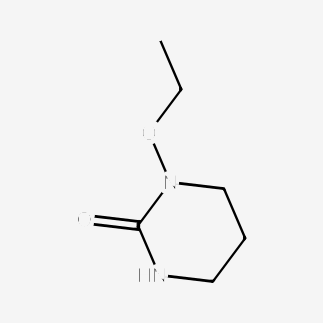 CCON1CCCNC1=O